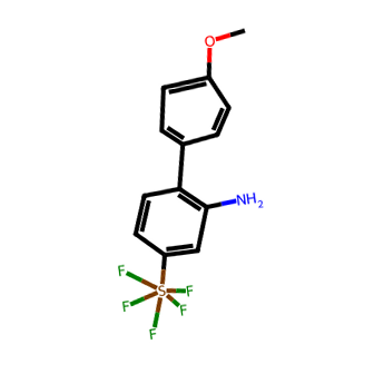 COc1ccc(-c2ccc(S(F)(F)(F)(F)F)cc2N)cc1